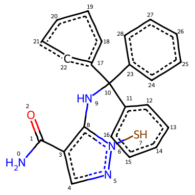 NC(=O)c1cnn(S)c1NC(c1ccccc1)(c1ccccc1)c1ccccc1